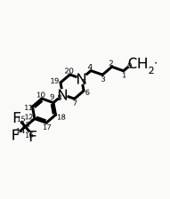 [CH2]CCCCN1CCN(c2ccc(C(F)(F)F)cc2)CC1